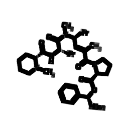 CCCCCCCCC[C@H](OC(=O)[C@@H]1CCCN1C(=O)/C(C)=C/[C@H](C(C)C)N(C)C(=O)[C@@H](NC(=O)[C@H]1CCCCN1C)C(C)C)c1ccccc1